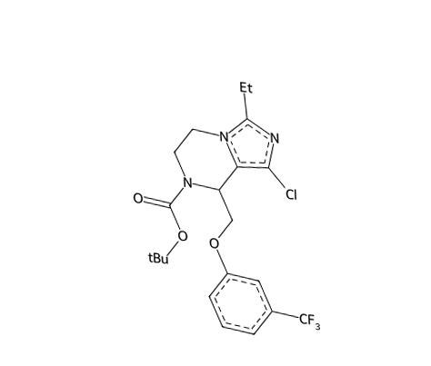 CCc1nc(Cl)c2n1CCN(C(=O)OC(C)(C)C)C2COc1cccc(C(F)(F)F)c1